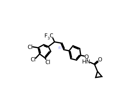 O=C(NOc1ccc(/C=C/C(c2cc(Cl)c(Cl)c(Cl)c2)C(F)(F)F)cc1)C1CC1